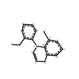 CCc1ccccc1N1C=CCc2cccc(C)c21